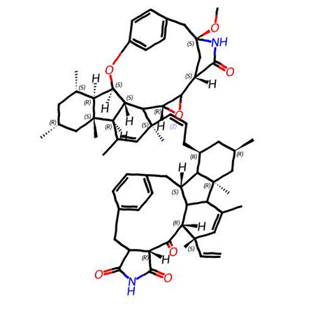 C=C[C@@]1(C)C=C(C)C2C3[C@H](Cc4ccc(cc4)CC4C(=O)NC(=O)[C@H]4C(=O)[C@H]31)C1[C@@H](C/C=C\[C@@]3(C)C=C(C)[C@@H]4[C@H]5C3[C@H]3OC3[C@@H]3C[C@](OC)(Cc6ccc(cc6)O[C@@H]5[C@@H]5[C@@H](C)C[C@@H](C)C[C@]54C)NC3=O)C[C@@H](C)C[C@@]21C